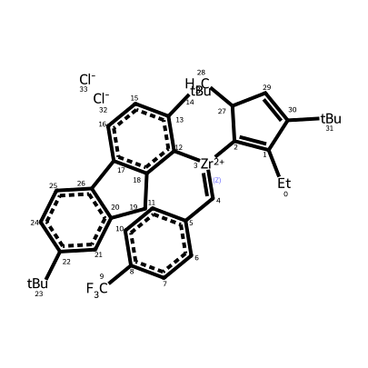 CCC1=[C](/[Zr+2](=[CH]/c2ccc(C(F)(F)F)cc2)[c]2c(C(C)(C)C)ccc3c2Cc2cc(C(C)(C)C)ccc2-3)C(C)C=C1C(C)(C)C.[Cl-].[Cl-]